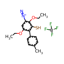 CCOc1cc([N+]#N)c(OCC)c(S)c1-c1ccc(C)cc1.F[B-](F)(F)F